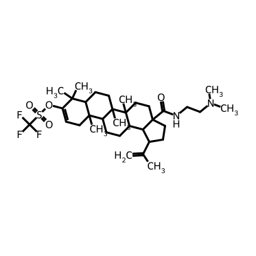 C=C(C)C1CCC2(C(=O)NCCN(C)C)CCC3(C)C(CCC4C5(C)CC=C(OS(=O)(=O)C(F)(F)F)C(C)(C)C5CCC43C)C12